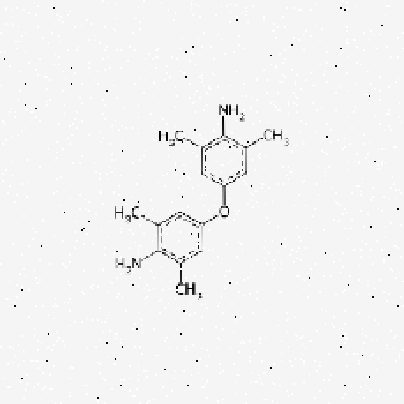 Cc1cc(Oc2cc(C)c(N)c(C)c2)cc(C)c1N